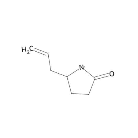 C=CCC1CCC(=O)[N]1